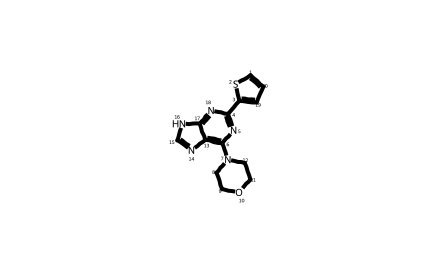 c1csc(-c2nc(N3CCOCC3)c3nc[nH]c3n2)c1